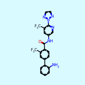 Nc1ccccc1-c1ccc(C(=O)Nc2cnc(-n3nccn3)c(C(F)(F)F)c2)c(C(F)(F)F)c1